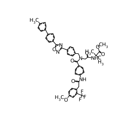 COC(=O)C(C)(C)NC(=O)CN(Cc1ccc(-c2noc(-c3ccc(-c4ccc(C)cc4)cc3)n2)cc1)C(=O)c1ccc(NC(=O)Cc2ccc(OC)cc2C(F)(F)F)cc1